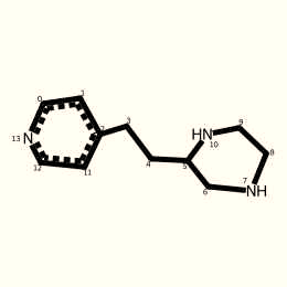 c1cc(CCC2CNCCN2)ccn1